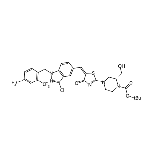 CC(C)(C)OC(=O)N1CCN(C2=NC(=O)C(=Cc3ccc4c(c3)c(Cl)nn4Cc3ccc(C(F)(F)F)cc3C(F)(F)F)S2)C[C@@H]1CO